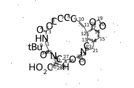 CC(C)(C)[C@@H]1NC(=O)OCCCC/C=C\c2c3c(cc4c2OCO4)CN(C3)C(=O)O[C@@H]2CC(C(=O)O)N(C2)C1=O